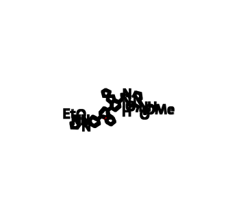 CCC(=O)N1CCC[C@H]1c1nc2ccc(-c3ccc(-c4ccc(-c5cnc([C@@H]6CCCN6C(=O)[C@H](C)NC(=O)OC)[nH]5)c5c4CC4(CCCC4)C5)c4c3C3CCC4C3)cc2[nH]1